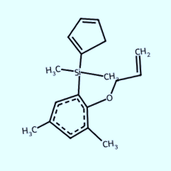 C=CCOc1c(C)cc(C)cc1[Si](C)(C)C1=CC=CC1